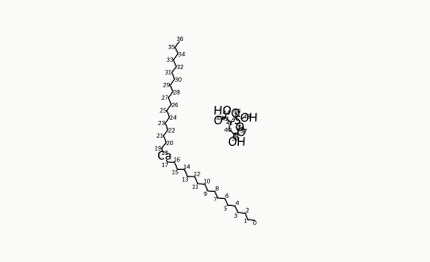 CCCCCCCCCCCCCCCCC[CH2][Ca][CH2]CCCCCCCCCCCCCCCCC.O=C(O)CC(C(=O)O)S(=O)(=O)O